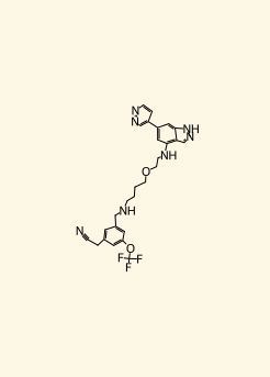 N#CCc1cc(CNCCCCOCCNc2cc(-c3ccnnc3)cc3[nH]ncc23)cc(OC(F)(F)F)c1